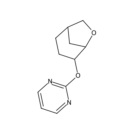 c1cnc(OC2CCC3COC2C3)nc1